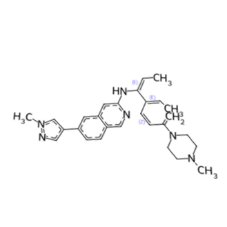 C=C(\C=C/C(=C\C)C(=C\C)/Nc1cc2cc(-c3cnn(C)c3)ccc2cn1)N1CCN(C)CC1